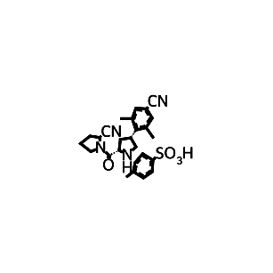 Cc1cc(C#N)cc(C)c1[C@@H]1CN[C@H](C(=O)N2CCC[C@H]2C#N)C1.Cc1ccc(S(=O)(=O)O)cc1